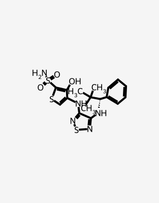 CC(C)(C)[C@@H](Nc1nsnc1Nc1csc(S(N)(=O)=O)c1O)c1ccccc1